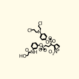 O=C(CO)Nc1cccc(OS(=O)(=O)CCC(c2ccsc2[N+](=O)[O-])S(=O)(=O)Oc2ccc(N(CCCl)CCCl)cc2)c1